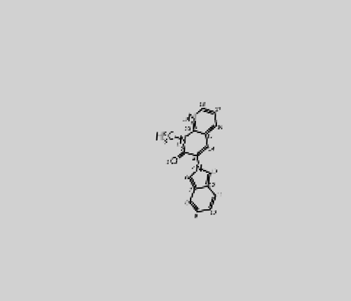 Cn1c(=O)c(-n2cc3ccccc3c2)cc2cccnc21